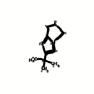 CC(C)(C)c1cn2c(n1)CSC2